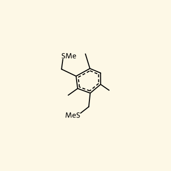 CSCc1c(C)cc(C)c(CSC)c1C